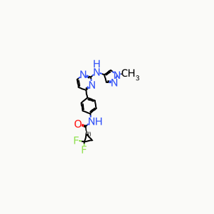 Cn1cc(Nc2nccc(-c3ccc(NC(=O)[C@H]4CC4(F)F)cc3)n2)cn1